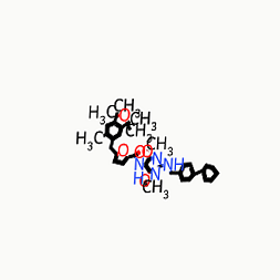 COc1nc(NCc2ccc(-c3ccccc3)cc2)nc(OC)c1NC(=O)c1ccc(Cc2cc3c(cc2C)C(C)(C)OC3(C)C)o1